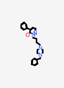 O=c1c(-c2ccccc2)ccnn1CCCCN1CCN(Cc2ccccc2)CC1